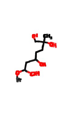 CC(C)OC(O)CC(O)CCC(C)(O)CO